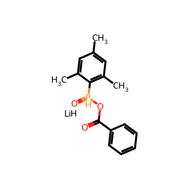 Cc1cc(C)c([PH](=O)OC(=O)c2ccccc2)c(C)c1.[LiH]